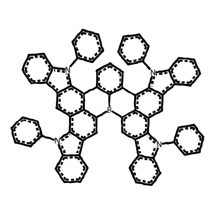 c1ccc(-n2c3ccccc3c3cc4c5c(cc6c7ccccc7n(-c7ccccc7)c46)B4c6c(cccc6-c6c7c4cc4c8ccccc8n(-c8ccccc8)c4c7cc4c7ccccc7n(-c7ccccc7)c64)-c5c32)cc1